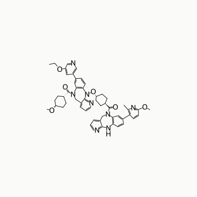 CCOc1cncc(-c2ccc3c(c2)N(C(=O)[C@H]2CC[C@H](OC)CC2)Cc2cccnc2N3O[C@H]2CC[C@H](C(=O)N3Cc4cccnc4Nc4ccc(-c5ccc(OC)nc5C)cc43)CC2)c1